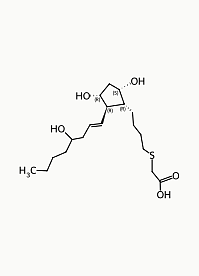 CCCCC(O)CC=C[C@@H]1[C@@H](CCCCSCC(=O)O)[C@@H](O)C[C@H]1O